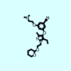 CCc1c(Oc2cc(C#N)cc(OCCN(C)C)c2)c(C)nn1CCOC1CCCCO1